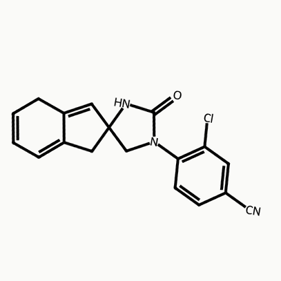 N#Cc1ccc(N2CC3(C=C4CC=CC=C4C3)NC2=O)c(Cl)c1